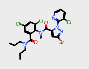 CCCN(CCC)C(=O)c1cc(Cl)cc(Cl)c1N(C)C(=O)c1cc(Br)nn1-c1ncccc1Cl